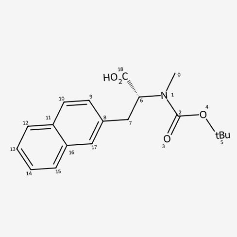 CN(C(=O)OC(C)(C)C)[C@H](Cc1ccc2ccccc2c1)C(=O)O